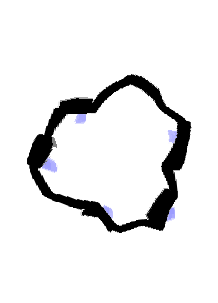 [C]1=C/C/C=C/C=C\C=C\CC/C=C/1